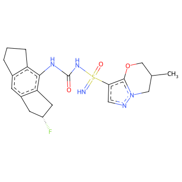 CC1COc2c(S(=N)(=O)NC(=O)Nc3c4c(cc5c3C[C@H](F)C5)CCC4)cnn2C1